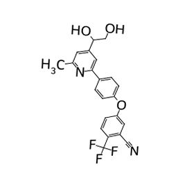 Cc1cc(C(O)CO)cc(-c2ccc(Oc3ccc(C(F)(F)F)c(C#N)c3)cc2)n1